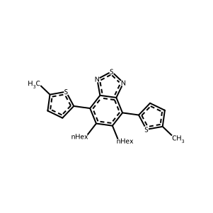 CCCCCCc1c(CCCCCC)c(-c2ccc(C)s2)c2nsnc2c1-c1ccc(C)s1